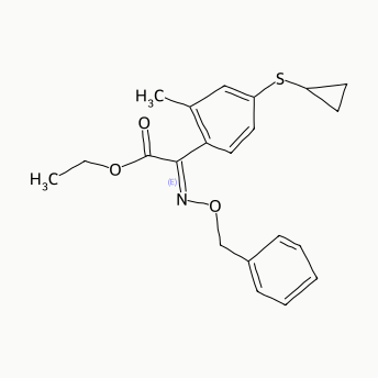 CCOC(=O)/C(=N/OCc1ccccc1)c1ccc(SC2CC2)cc1C